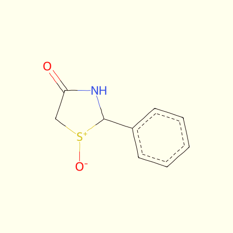 O=C1C[S+]([O-])C(c2ccccc2)N1